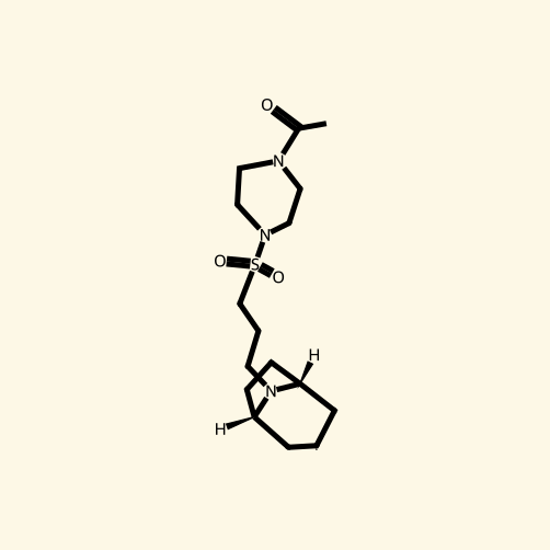 CC(=O)N1CCN(S(=O)(=O)CCCN2[C@@H]3C[CH]C[C@H]2CC3)CC1